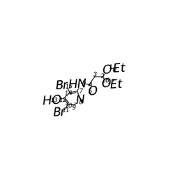 CCOC(CC(=O)Nc1ncc(Br)c(O)c1Br)OCC